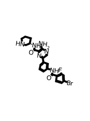 Nc1ncc(-c2cccc(NC(=O)c3ccc(Br)cc3F)c2)nc1C(=O)N[C@H]1CCCNC1